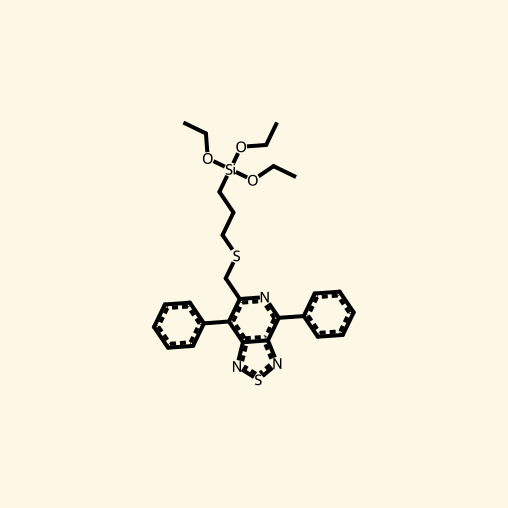 CCO[Si](CCCSCc1nc(-c2ccccc2)c2nsnc2c1-c1ccccc1)(OCC)OCC